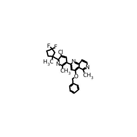 Cc1nc(C2(C)CCC(F)(F)C2)c(Cl)cc1-c1cc(OCc2ccccc2)c2c(C)nccc2n1